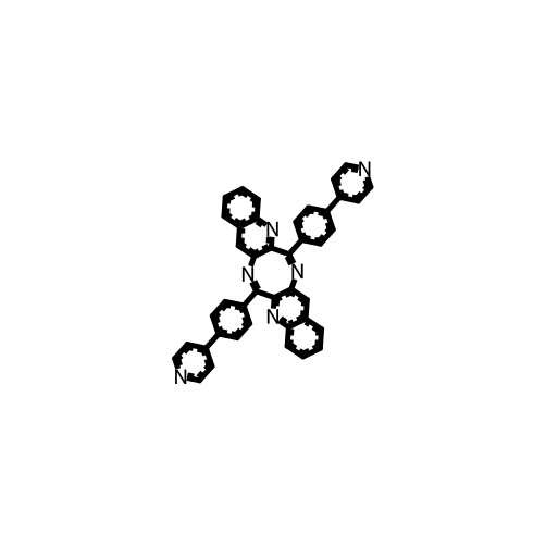 c1ccc2nc3c(cc2c1)/N=C(/c1ccc(-c2ccncc2)cc1)c1nc2ccccc2cc1/N=C\3c1ccc(-c2ccncc2)cc1